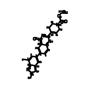 Cc1cc(-c2ccc3nc(C4=CCN(C(=O)OC(C)(C)C)CC4)n[n+]([O-])c3c2)cc2cn(C)nc12